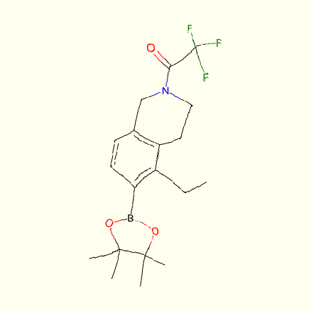 CCc1c(B2OC(C)(C)C(C)(C)O2)ccc2c1CCN(C(=O)C(F)(F)F)C2